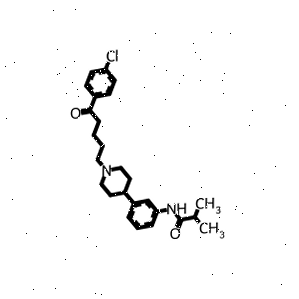 CC(C)C(=O)Nc1cccc(C2CCN(CCCCC(=O)c3ccc(Cl)cc3)CC2)c1